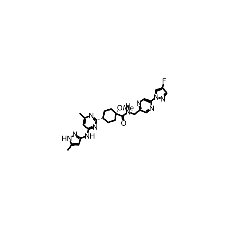 CO[C@]1(C(=O)NCc2cnc(-n3cc(F)cn3)cn2)CC[C@H](c2nc(C)cc(Nc3cc(C)[nH]n3)n2)CC1